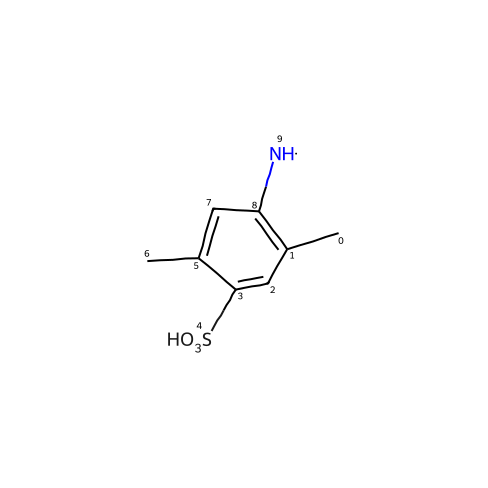 Cc1cc(S(=O)(=O)O)c(C)cc1[NH]